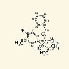 C=C(C)[C@@](O)(c1ccc(F)c(C)c1)[C@H](C)OCc1ccccc1